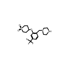 O=S1(=O)CCC(Oc2cc(C(F)(F)F)ccc2CN2CCNCC2)CC1